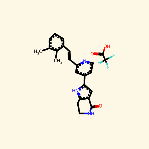 Cc1cccc(C=Cc2cc(-c3cc4c([nH]3)CCNC4=O)ccn2)c1C.O=C(O)C(F)(F)F